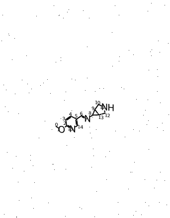 COc1ccc(C=NC2C3CNCC32)cn1